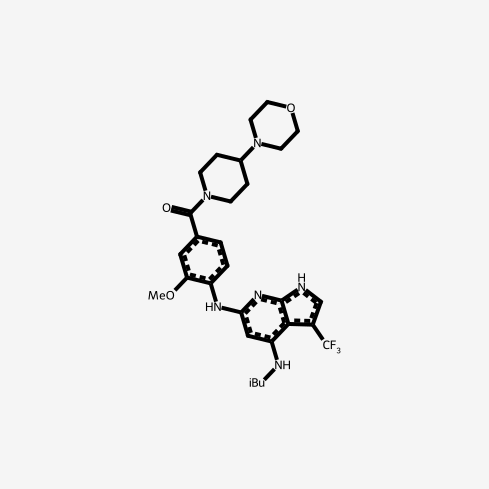 CCC(C)Nc1cc(Nc2ccc(C(=O)N3CCC(N4CCOCC4)CC3)cc2OC)nc2[nH]cc(C(F)(F)F)c12